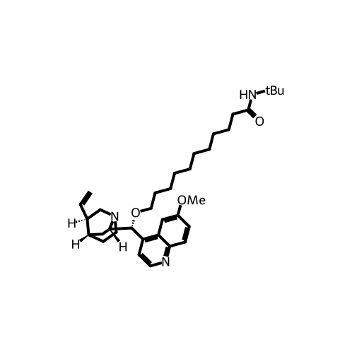 C=C[C@H]1CN2CC[C@H]1C[C@H]2[C@H](OCCCCCCCCCCC(=O)NC(C)(C)C)c1ccnc2ccc(OC)cc12